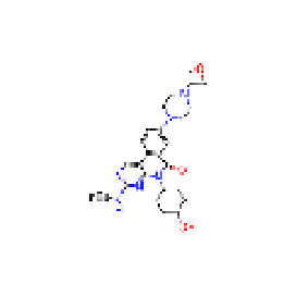 CCCCNc1ncc2c3ccc(N4CCN(C5COC5)CC4)cc3c(=O)n([C@H]3CC[C@H](O)CC3)c2n1